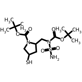 CC(C)(C)OC(=O)N1CC(S)CC1CN(C(=O)OC(C)(C)C)S(N)(=O)=O